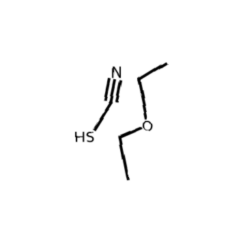 CCOCC.N#CS